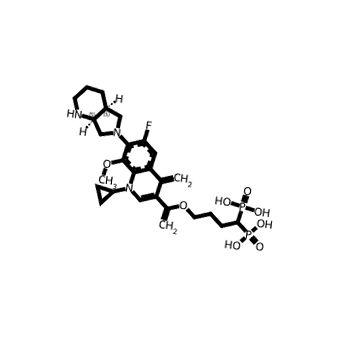 C=C(OCCCC(P(=O)(O)O)P(=O)(O)O)C1=CN(C2CC2)c2c(cc(F)c(N3C[C@@H]4CCCN[C@@H]4C3)c2OC)C1=C